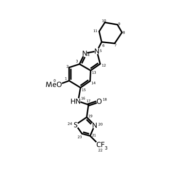 COc1cc2nn(C3CCCCC3)cc2cc1NC(=O)c1nc(C(F)(F)F)cs1